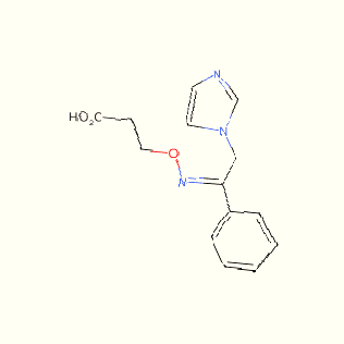 O=C(O)CCON=C(Cn1ccnc1)c1ccccc1